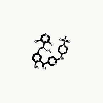 CS(=O)(=O)N1CCC(Nc2ccc(C(=N)c3cc(O[C@H](N)c4c(Cl)cncc4Cl)ccc3N)cn2)CC1